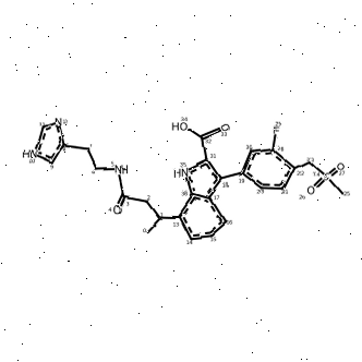 CC(CC(=O)NCCc1c[nH]cn1)c1cccc2c(-c3ccc(CS(C)(=O)=O)c(F)c3)c(C(=O)O)[nH]c12